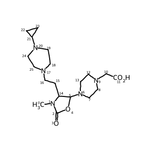 CN1C(=O)OC(N2CCN(CC(=O)O)CC2)C1CCN1CCN(C2CC2)CC1